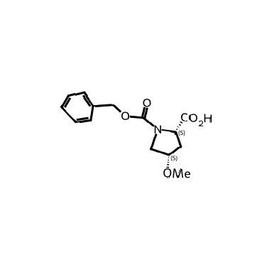 CO[C@H]1C[C@@H](C(=O)O)N(C(=O)OCc2ccccc2)C1